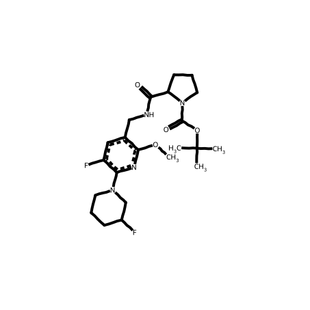 COc1nc(N2CCCC(F)C2)c(F)cc1CNC(=O)C1CCCN1C(=O)OC(C)(C)C